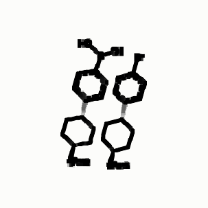 CCCCC[C@H]1CC[C@H](c2ccc(B(O)O)cc2)CC1.CCCCC[C@H]1CC[C@H](c2ccc(Br)cc2)CC1